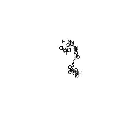 Nc1ncc(-c2cnn(C3CCN(C(=O)CCCCCSc4cccc5c4CN([C@@H]4CCC(=O)NC4=O)C5=O)CC3)c2)cc1OCCc1c(Cl)ccc(F)c1Cl